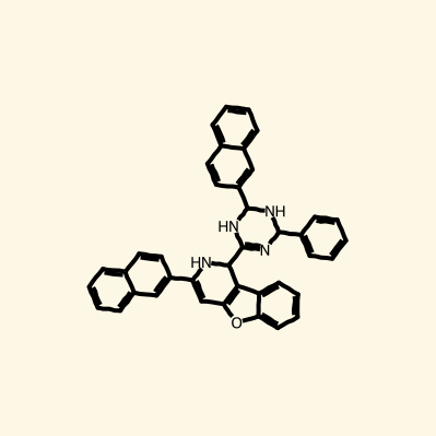 C1=C(c2ccc3ccccc3c2)NC(C2=NC(c3ccccc3)NC(c3ccc4ccccc4c3)N2)c2c1oc1ccccc21